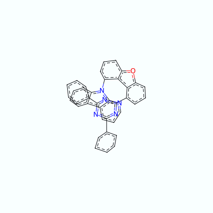 c1ccc(-c2nc(-c3ccccc3)nc(-c3cccc4oc5cccc(-n6c7ccccc7c7cccnc76)c5c34)n2)cc1